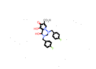 O=C(O)c1cn2c(c(O)c1=O)C(O)N(Cc1ccc(F)cc1)CN2Cc1ccc(F)cc1